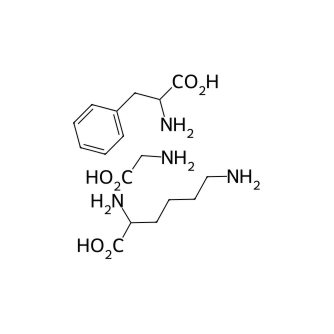 NC(Cc1ccccc1)C(=O)O.NCC(=O)O.NCCCCC(N)C(=O)O